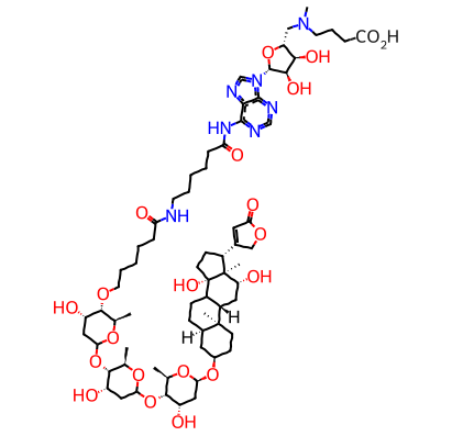 C[C@H]1OC(O[C@H]2[C@@H](O)CC(O[C@H]3[C@@H](O)C[C@H](O[C@@H]4CC[C@@]5(C)[C@H](CCC6[C@@H]5C[C@@H](O)[C@]5(C)[C@@H](C7=CC(=O)OC7)CC[C@]65O)C4)O[C@@H]3C)O[C@@H]2C)C[C@H](O)[C@@H]1OCCCCCC(=O)NCCCCCC(=O)Nc1ncnc2c1ncn2[C@@H]1O[C@H](CN(C)CCCC(=O)O)[C@@H](O)[C@H]1O